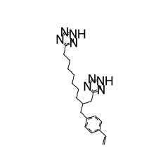 C=Cc1ccc(CC(CCCCCCCc2nn[nH]n2)Cc2nn[nH]n2)cc1